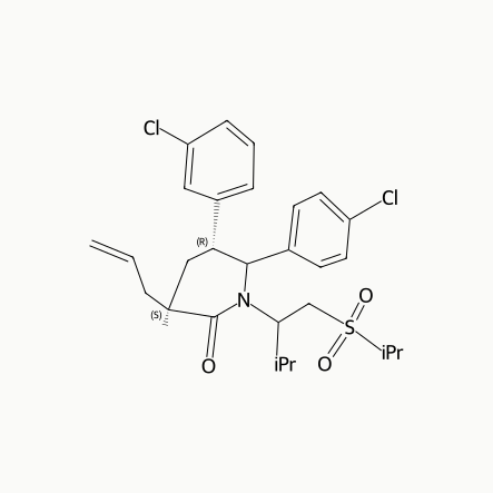 C=CC[C@@]1(C)C[C@H](c2cccc(Cl)c2)C(c2ccc(Cl)cc2)N(C(CS(=O)(=O)C(C)C)C(C)C)C1=O